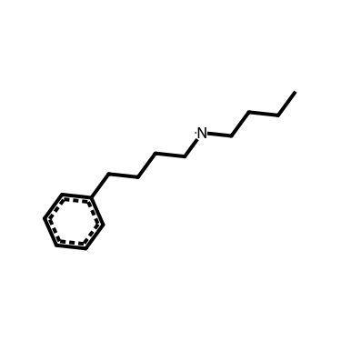 CCCC[N]CCCCc1ccccc1